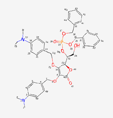 CN(C)c1ccc(COC2=C(OCc3ccc(N(C)C)cc3)[C@@H]([C@H](CO)OP(=O)(OCc3ccccc3)OCc3ccccc3)OC2=O)cc1